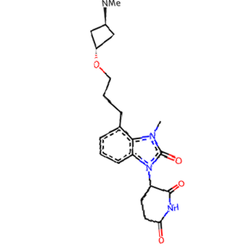 CN[C@H]1C[C@H](OCCCc2cccc3c2n(C)c(=O)n3C2CCC(=O)NC2=O)C1